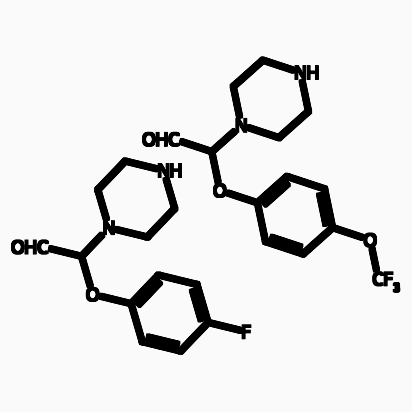 O=CC(Oc1ccc(F)cc1)N1CCNCC1.O=CC(Oc1ccc(OC(F)(F)F)cc1)N1CCNCC1